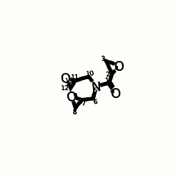 O=C(C1CO1)N(CC1CO1)CC1CO1